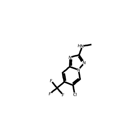 CNc1nc2cc(C(F)(F)F)c(Cl)cn2n1